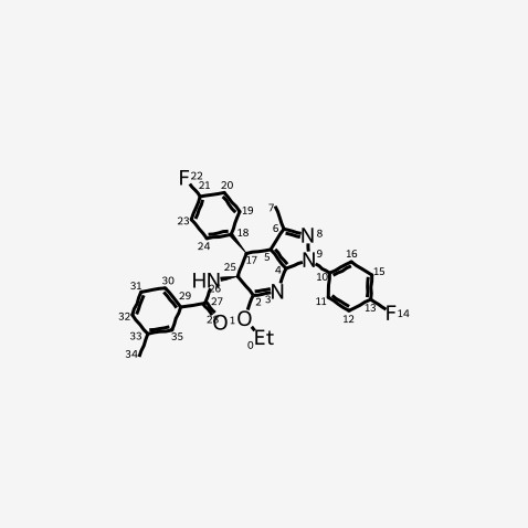 CCOC1=Nc2c(c(C)nn2-c2ccc(F)cc2)[C@H](c2ccc(F)cc2)[C@@H]1NC(=O)c1cccc(C)c1